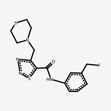 O=C(Nc1cccc(CF)c1)c1snnc1CN1CCSCC1